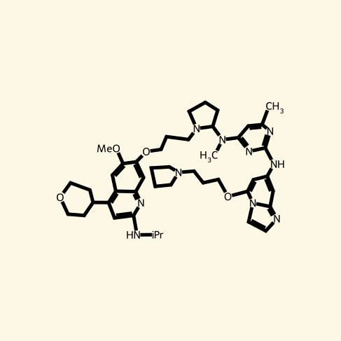 COc1cc2c(C3CCOCC3)cc(NC(C)C)nc2cc1OCCCN1CCCC1N(C)c1cc(C)nc(Nc2cc(OCCCN3CCCC3)n3ccnc3c2)n1